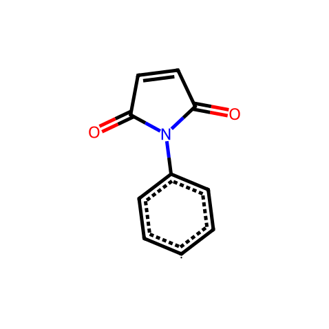 O=C1C=CC(=O)N1c1cc[c]cc1